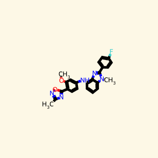 COc1cc(Nc2cccc3c2nc(-c2ccc(F)cc2)n3C)ccc1-c1nc(C)no1